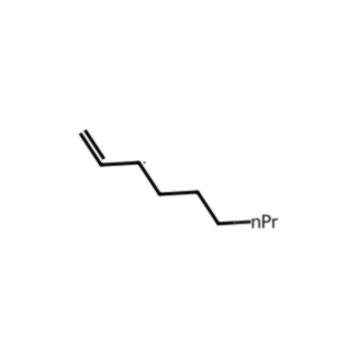 C=C[CH]CCCC[CH]C